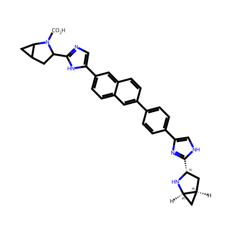 O=C(O)N1C(c2ncc(-c3ccc4cc(-c5ccc(-c6c[nH]c([C@@H]7C[C@H]8C[C@H]8N7)n6)cc5)ccc4c3)[nH]2)CC2CC21